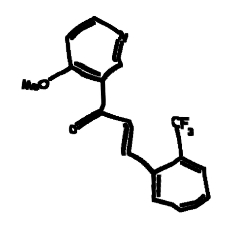 COc1ccncc1C(=O)/C=C/c1ccccc1C(F)(F)F